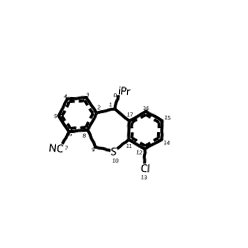 CC(C)C1c2cccc(C#N)c2CSc2c(Cl)cccc21